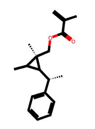 C=C(C)C(=O)OC[C@]1(C)C(C)C1[C@H](C)c1ccccc1